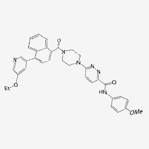 CCOc1cncc(-c2ccc(C(=O)N3CCN(c4ccc(C(=O)Nc5ccc(OC)cc5)nn4)CC3)c3ccccc23)c1